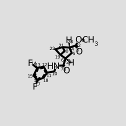 COC(=O)[C@@H]1C[C@H](C(=O)NCc2cc(F)cc(F)c2)C2CC1C2